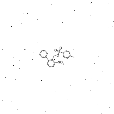 Cc1ccc(S(=O)(=O)OCc2c(-c3ccccc3)cccc2[N+](=O)[O-])cc1